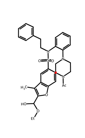 CCOC(O)c1oc2ccc(S(=O)(=O)N(CCc3ccccc3)c3ccccc3N3CCN(C(C)=O)CC3)cc2c1C